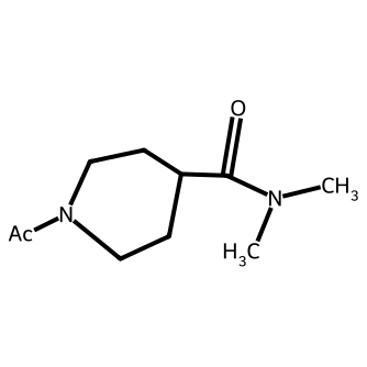 CC(=O)N1CCC(C(=O)N(C)C)CC1